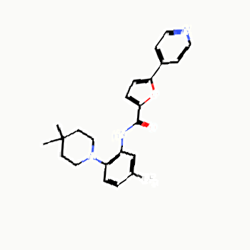 CC1(C)CCN(c2ccc(C(F)(F)F)cc2NC(=O)c2ccc(-c3ccncc3)o2)CC1